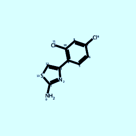 Nc1nc(-c2ccc(Cl)cc2Cl)cs1